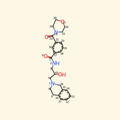 O=C(NCC(O)CN1CCc2ccccc2C1)c1cccc(C(=O)N2CCOCC2)c1